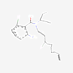 C=CCCC(F)/C=C/N(C(C)CC)C(O)c1c(N)cccc1Cl